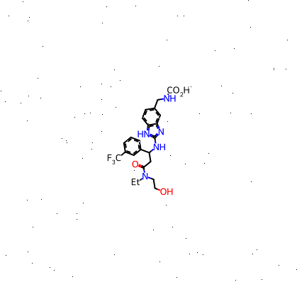 CCN(CCO)C(=O)CC(Nc1nc2cc(CNC(=O)O)ccc2[nH]1)c1cccc(C(F)(F)F)c1